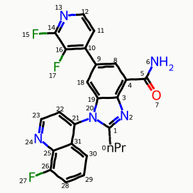 CCCc1nc2c(C(N)=O)cc(-c3ccnc(F)c3F)cc2n1-c1ccnc2c(F)cccc12